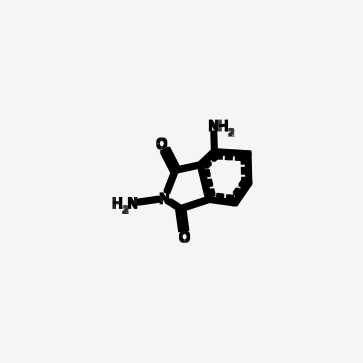 Nc1cccc2c1C(=O)N(N)C2=O